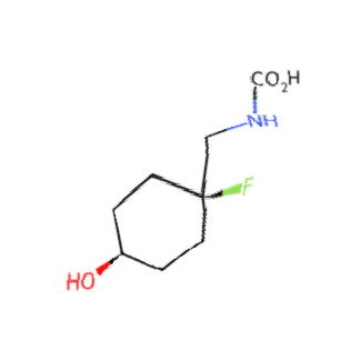 O=C(O)NC[C@]1(F)CC[C@@H](O)CC1